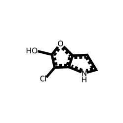 Oc1oc2cc[nH]c2c1Cl